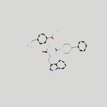 COC(=O)c1ccc(CN(C)C)cc1NC(=O)[C@H](NC(=O)N1CCC(c2ccccc2)CC1)[C@@H](C)c1c[nH]c2ccccc12